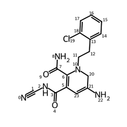 N#CNC(=O)C1=C(C(N)=O)N(CCc2ccccc2Cl)CC(N)=C1